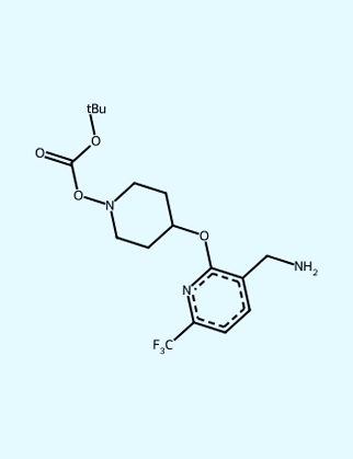 CC(C)(C)OC(=O)ON1CCC(Oc2nc(C(F)(F)F)ccc2CN)CC1